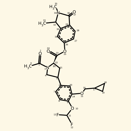 CC(=O)N1CC(c2ccc(OC(F)F)c(OCC3CC3)c2)C[C@@H]1C(=O)Oc1ccc2c(c1)C(C)N(C)C2=O